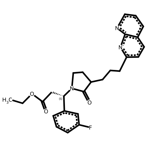 CCOC(=O)C[C@@H](c1cccc(F)c1)N1CCC(CCCc2ccc3cccnc3n2)C1=O